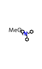 COc1ccc(N(CCc2ccccc2)CCc2ccccc2)c(C)c1